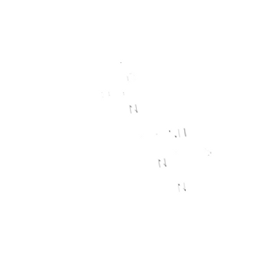 Cc1nc(N[C@@H]2CCN(C(=O)OC(C)(C)C)C2)c2sccc2n1